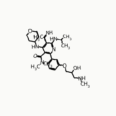 CNCC(O)COc1cccc(-c2nc(NC(C)C)c(C(C)=N)c(NC3CCOCC3)c2C(=O)N(C)C)c1